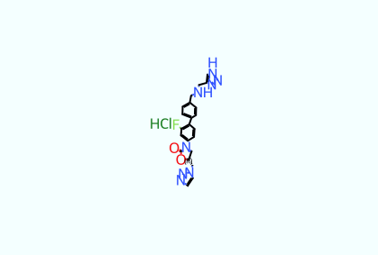 Cl.O=C1O[C@@H](Cn2ccnn2)CN1c1ccc(-c2ccc(CNCc3c[nH]nn3)cc2)c(F)c1